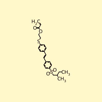 C=CC(=O)OCCSc1ccc(/C=C/c2ccc(S(=O)(=O)CC(C)CC)cc2)cc1